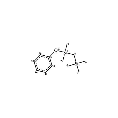 C[Si](C)(C)C[Si](C)(C)Oc1ccccc1